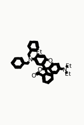 CCc1cc2c(cc1N(Cc1ccccc1)Cc1ccccc1)C1(OC(=O)c3ccccc31)c1ccc(N(CC)CC)cc1O2